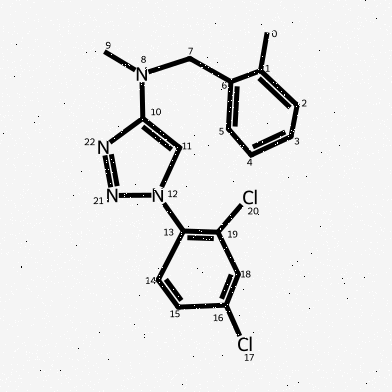 Cc1ccccc1CN(C)c1cn(-c2ccc(Cl)cc2Cl)nn1